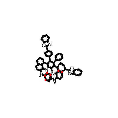 CN1c2ccccc2N(c2c(-c3ccccc3)c(-c3ccc(-c4nc5ccccc5o4)cc3)c(-c3ccccc3)c(-c3ccc(-c4nc5ccccc5o4)cc3)c2N2c3ccccc3N(C)c3ccccc32)c2ccccc21